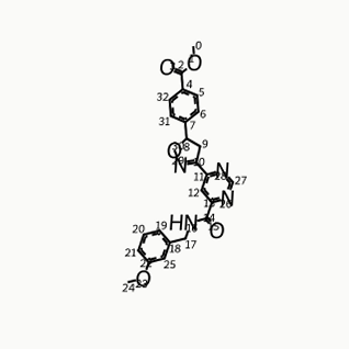 COC(=O)c1ccc(C2CC(c3cc(C(=O)NCc4cccc(OC)c4)ncn3)=NO2)cc1